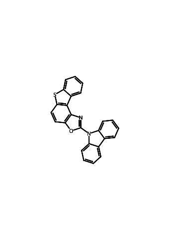 c1ccc2c(c1)sc1ccc3oc(-n4c5ccccc5c5ccccc54)nc3c12